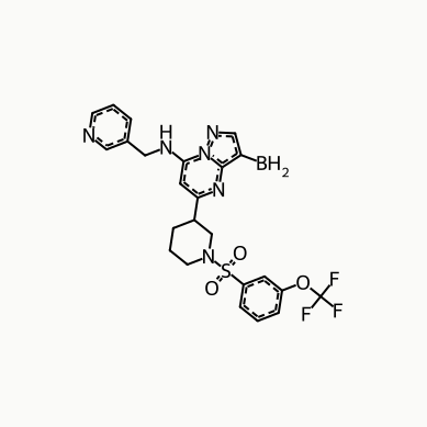 Bc1cnn2c(NCc3cccnc3)cc(C3CCCN(S(=O)(=O)c4cccc(OC(F)(F)F)c4)C3)nc12